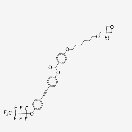 CCC1(COCCCCCCOc2ccc(C(=O)Oc3ccc(C#Cc4ccc(OC(F)(F)C(F)(F)C(F)(F)C(F)(F)F)cc4)cc3)cc2)COC1